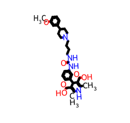 COc1cccc(C2CCN(CCCCNC(=O)Nc3cccc(C4C(C(=O)O)=C(C)NC(C)=C4C(=O)O)c3)CC2)c1